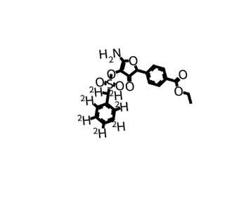 [2H]c1c([2H])c([2H])c(C([2H])([2H])S(=O)(=O)OC2=C(N)OC(c3ccc(C(=O)OCC)cc3)C2=O)c([2H])c1[2H]